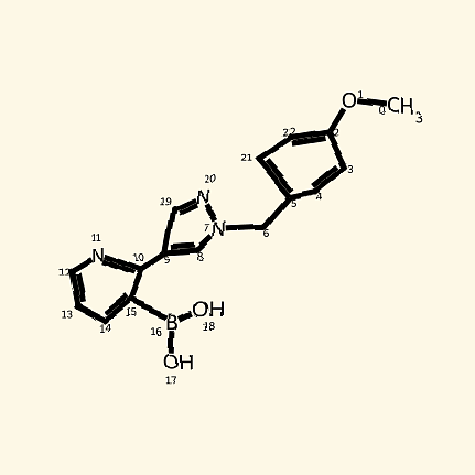 COc1ccc(Cn2cc(-c3ncccc3B(O)O)cn2)cc1